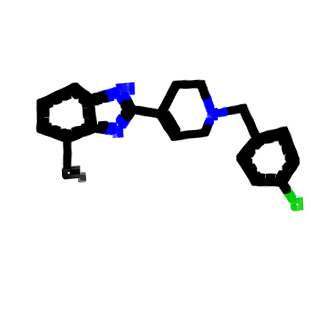 Cc1cccc2[nH]c(C3=CCN(Cc4ccc(Cl)cc4)CC3)nc12